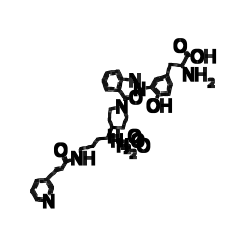 NC(Cc1ccc(O)c(N=Nc2ccccc2C(=O)N2CCC(CCCCNC(=O)C=Cc3cccnc3)CC2)c1)C(=O)O.O.O.O